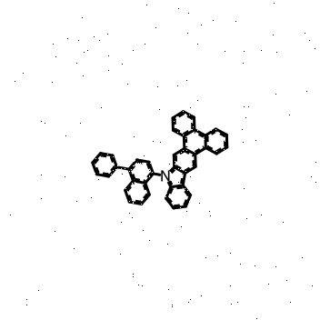 c1ccc(-c2ccc(-n3c4ccccc4c4cc5c6ccccc6c6ccccc6c5cc43)c3ccccc23)cc1